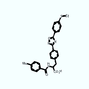 CCSc1ccc(-c2nc(-c3ccc(CC(NC(=O)c4ccc(C(C)(C)C)cc4)C(=O)O)cc3)no2)cc1